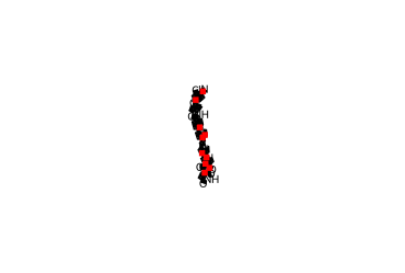 CC1(C)[C@H](NC(=O)c2ccc(N3CCC(CCN4CCN(c5cc6c(cn5)C(=O)N(C5CCC(=O)NC5=O)C6=O)CC4)CC3)cc2)C(C)(C)[C@H]1Oc1ccc(C#N)c(Cl)c1